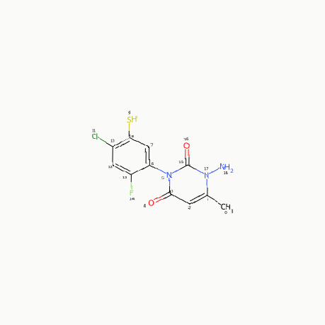 Cc1cc(=O)n(-c2cc(S)c(Cl)cc2F)c(=O)n1N